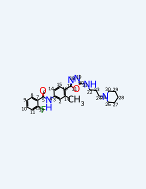 Cc1cc(NC(=O)c2ccccc2F)ccc1-c1nnc(NCCCN2CCCCC2)o1